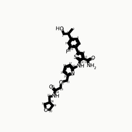 CC(CO)c1ccc(-c2cc(C(N)=O)c(Nc3cccc(COCC(=O)NCC4CCOC4)n3)s2)c(F)c1